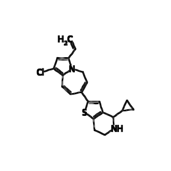 C=Cc1cc(Cl)c2n1CC=C(c1cc3c(s1)CCNC3C1CC1)C=C2